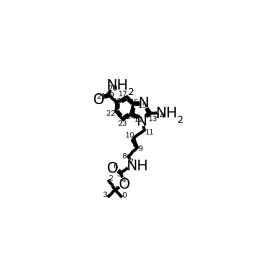 CC(C)(C)OC(=O)NC/C=C/Cn1c(N)nc2cc(C(N)=O)ccc21